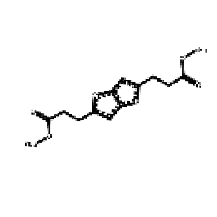 CCCCOC(=O)CCc1cc2sc(CCC(=O)OCCCC)cc2s1